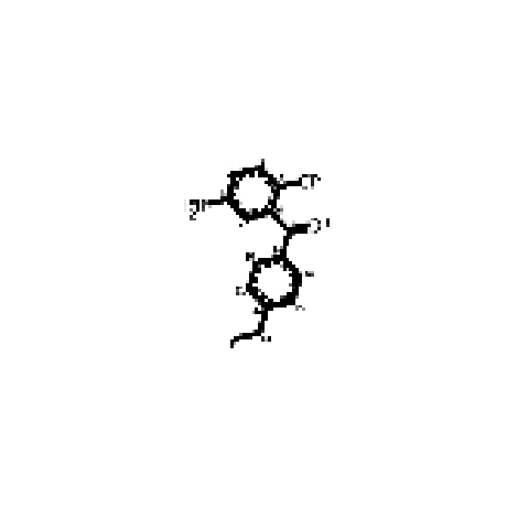 Bc1ccc(Cl)c(C(=O)c2ccc(CC)cc2)c1